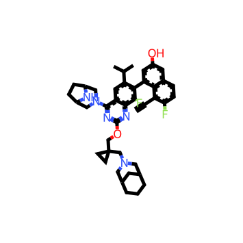 C#Cc1c(F)ccc2cc(O)cc(-c3c(C(C)C)cc4c(N5CC6CCC(C5)N6)nc(OCC5(CN6CC7CCCC(C7)C6)CC5)nc4c3F)c12